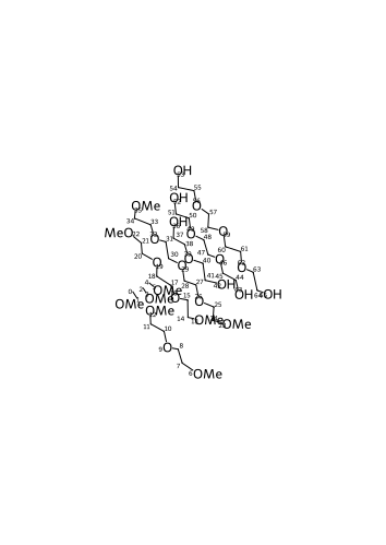 COC.COC.COC.COCCOCCOC.COCCOCCOCCOC.COCCOCCOCCOCCOC.OCCOCCO.OCCOCCOCCO.OCCOCCOCCOCCO